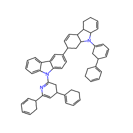 C1=CCCC(C2C=CC=C(N3C4C=CCCC4C4C=CC(c5ccc6c(c5)c5ccccc5n6C5=NC(C6C=CC=CC6)=CC(C6=CC=CCC6)C5)CC43)C2)=C1